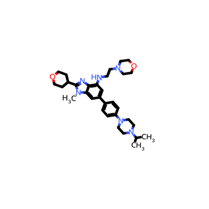 CC(C)N1CCN(c2ccc(-c3cc(NCCN4CCOCC4)c4nc(C5CCOCC5)n(C)c4c3)cc2)CC1